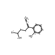 C=C=C(CCC(O)CC)c1ccccc1O